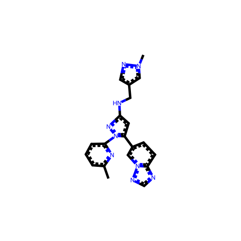 Cc1cccc(-n2nc(NCc3cnn(C)c3)cc2-c2ccc3ncnn3c2)n1